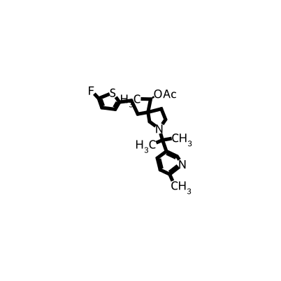 CC(=O)O[C@@H](C)C1(CCc2ccc(F)s2)CCN(C(C)(C)c2ccc(C)nc2)C1